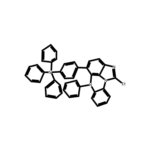 CCc1nc2ccc(-c3ccc([Si](c4ccccc4)(c4ccccc4)c4ccccc4)cc3)c3c2n1-c1ccccc1N3c1ccccc1